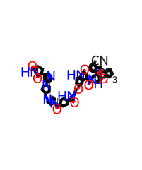 N#Cc1cccc2[nH]c(-c3ccccc3OC3(C(F)(F)F)CCN(C(=O)C4CC(=O)Nc5ccc(OCCNC(=O)C6CCC(C(=O)N7CCN(CC8CCN(c9cncc(C%10CCC(=O)NC%10=O)c9)CC8)CC7)CC6)cc54)CC3)cc12